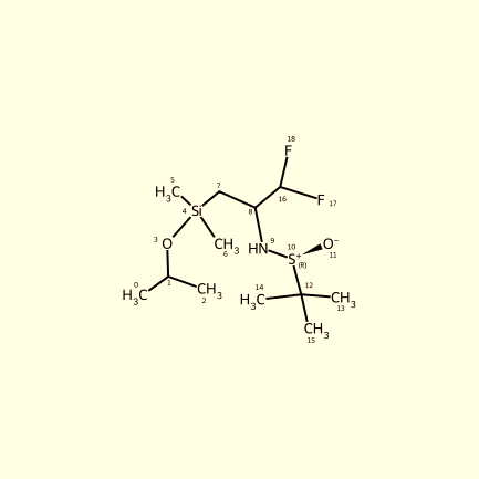 CC(C)O[Si](C)(C)CC(N[S@@+]([O-])C(C)(C)C)C(F)F